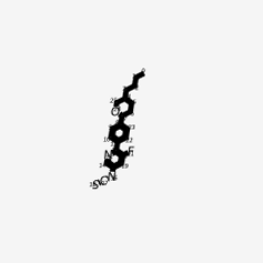 CCCCC1CCC(c2ccc(-c3ncc(N=C=S)cc3F)cc2)OC1